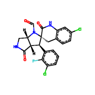 O=CN1[C@H]2CNC(=O)[C@H]2[C@H](c2cccc(Cl)c2F)[C@@]12Cc1ccc(Cl)cc1NC2=O